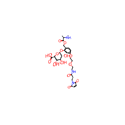 CNC(C)C(=O)OCc1ccc(OCCOCCNC(=O)CCN2C(=O)C=CC2=O)cc1O[C@@H]1O[C@H](C(=O)O)[C@@H](O)[C@H](O)[C@H]1O